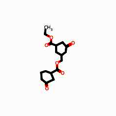 CCOC(=O)C1CC(=O)CC(COC(=O)C2CCCC(=O)C2)C1